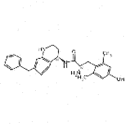 Cc1cc(O)cc(C)c1C[C@H](N)C(=O)N[C@@H]1CCNc2cc(Cc3ccccc3)ccc21